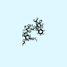 CCOc1nc(N)nc2c1ncn2[C@H](OCCOP(=S)(N[C@H](C)C(=O)OC(C)C)Oc1ccccc1)[C@](C)(F)CO